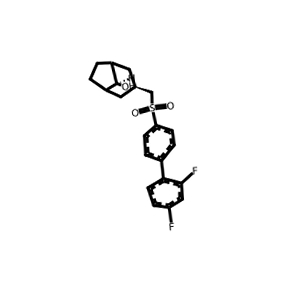 O=S(=O)(C[C@H]1CC2CCC(C1)[C@H]2O)c1ccc(-c2ccc(F)cc2F)cc1